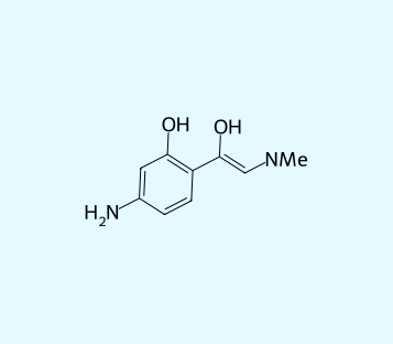 CN/C=C(\O)c1ccc(N)cc1O